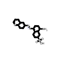 Nc1ccc(/N=N/c2ccc3ncccc3c2)c2ccc(S(=O)(=O)O)cc12